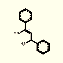 CN/C(=C\C(N)c1ccccc1)c1ccccc1